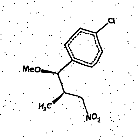 CO[C@@H](c1ccc(Cl)cc1)[C@H](C)C[N+](=O)[O-]